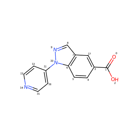 O=C(O)c1ccc2c(cnn2-c2ccncc2)c1